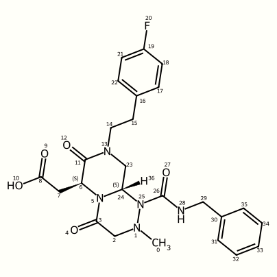 CN1CC(=O)N2[C@@H](CC(=O)O)C(=O)N(CCc3ccc(F)cc3)C[C@@H]2N1C(=O)NCc1ccccc1